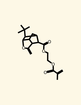 C=C(C)C(=O)OCCOC(=O)C1C2CC3C(OC(=C)C31)C2C(C)(C)C